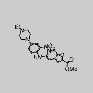 CCN1CCN(c2ccc(Nc3cc4cc(C(=O)OC)oc4cn3)c([N+](=O)[O-])c2)CC1